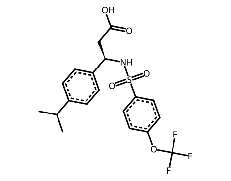 CC(C)c1ccc([C@@H](CC(=O)O)NS(=O)(=O)c2ccc(OC(F)(F)F)cc2)cc1